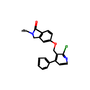 CCCCN1Cc2cc(OCc3c(-c4ccccc4)ccnc3Cl)ccc2C1=O